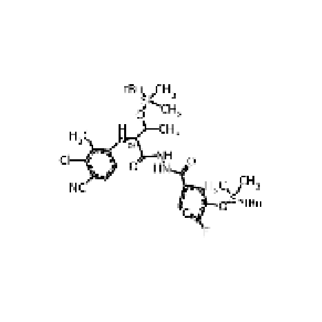 Cc1c(N[C@H](C(=O)NNC(=O)c2ccc(F)c(O[Si](C)(C)C(C)(C)C)c2)C(C)O[Si](C)(C)C(C)(C)C)ccc(C#N)c1Cl